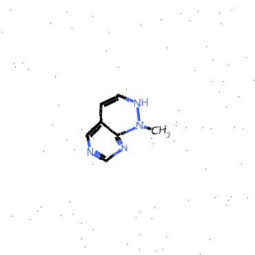 CN1NC=Cc2cncnc21